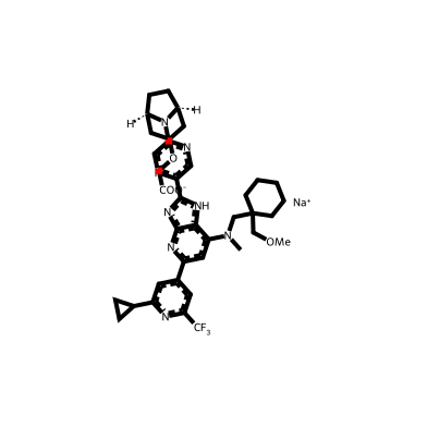 COCC1(CN(C)c2cc(-c3cc(C4CC4)nc(C(F)(F)F)c3)nc3nc(-c4cnc(N5[C@@H]6CC[C@H]5CC(OCC(=O)[O-])C6)cn4)[nH]c23)CCCCC1.[Na+]